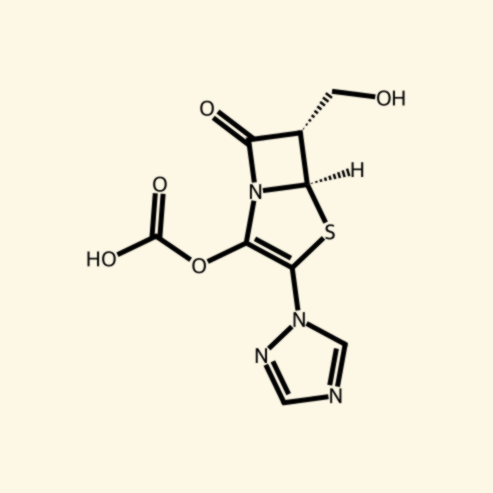 O=C(O)OC1=C(n2cncn2)S[C@@H]2[C@@H](CO)C(=O)N12